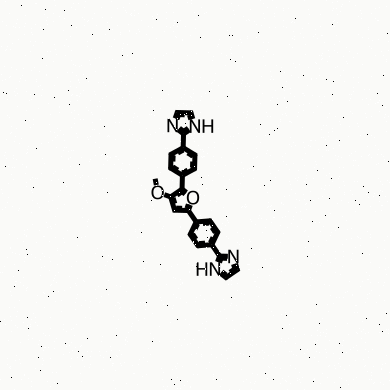 COc1cc(-c2ccc(-c3ncc[nH]3)cc2)oc1-c1ccc(-c2ncc[nH]2)cc1